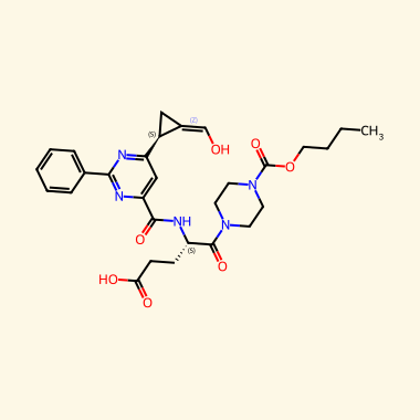 CCCCOC(=O)N1CCN(C(=O)[C@H](CCC(=O)O)NC(=O)c2cc([C@H]3C/C3=C/O)nc(-c3ccccc3)n2)CC1